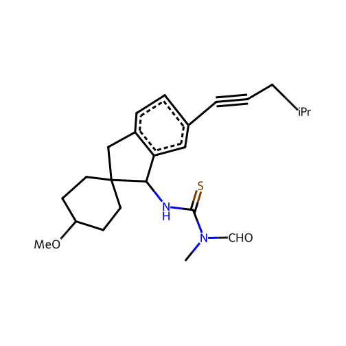 COC1CCC2(CC1)Cc1ccc(C#CCC(C)C)cc1C2NC(=S)N(C)C=O